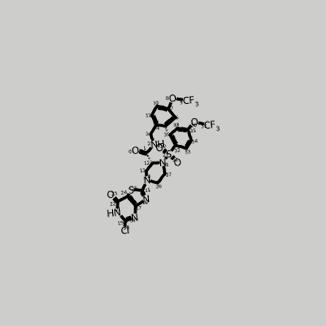 O=C(NCc1ccc(OC(F)(F)F)cc1)[C@H]1CN(c2nc3nc(Cl)[nH]c(=O)c3s2)CCN1S(=O)(=O)c1ccc(OC(F)(F)F)cc1